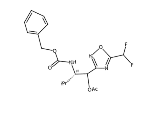 CC(=O)OC(c1noc(C(F)F)n1)[C@@H](NC(=O)OCc1ccccc1)C(C)C